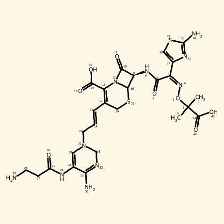 CC(C)(O/N=C(\C(=O)N[C@@H]1C(=O)N2C(C(=O)O)=C(/C=C/CN3C=C(NC(=O)CCN)C(N)=NC3)CSC12)c1csc(N)n1)C(=O)O